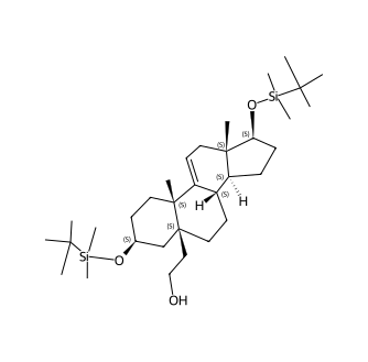 CC(C)(C)[Si](C)(C)O[C@H]1CC[C@]2(C)C3=CC[C@]4(C)[C@@H](O[Si](C)(C)C(C)(C)C)CC[C@H]4[C@@H]3CC[C@]2(CCO)C1